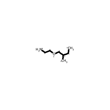 CCC(C)COCCN